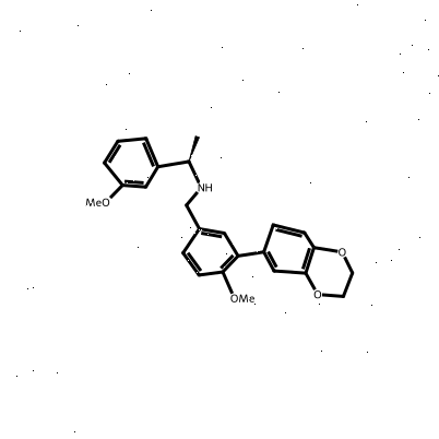 COc1cccc([C@@H](C)NCc2ccc(OC)c(-c3ccc4c(c3)OCCO4)c2)c1